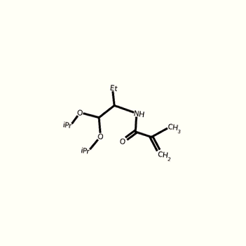 C=C(C)C(=O)NC(CC)C(OC(C)C)OC(C)C